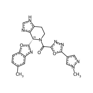 Cc1ccc2oc([C@@H]3c4nc[nH]c4CCN3C(=O)c3nnc(-c4cnn(C)c4)o3)nc2c1